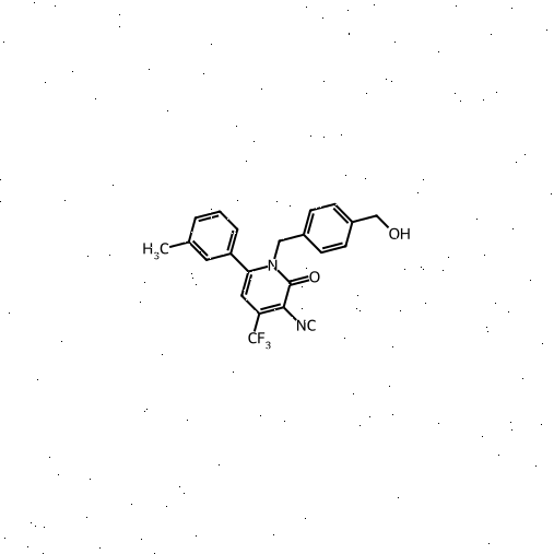 [C-]#[N+]c1c(C(F)(F)F)cc(-c2cccc(C)c2)n(Cc2ccc(CO)cc2)c1=O